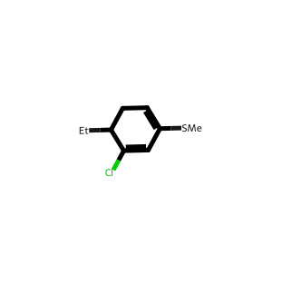 CCC1CC=C(SC)C=C1Cl